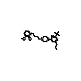 CCCc1cc(N2CCN(CCCCn3cccc(OC)c3=O)CC2)nc(C(C)(C)C)n1